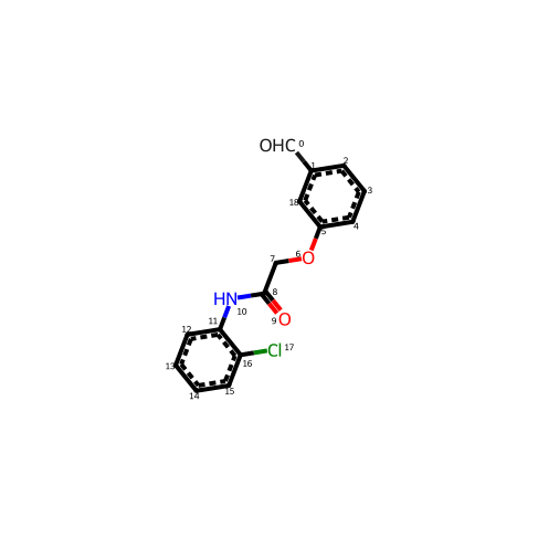 O=Cc1cccc(OCC(=O)Nc2ccccc2Cl)c1